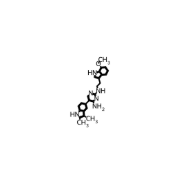 COc1cccc2c(CCNc3ncc(-c4ccc5[nH]c(C)c(C)c5c4)c(N)n3)c[nH]c12